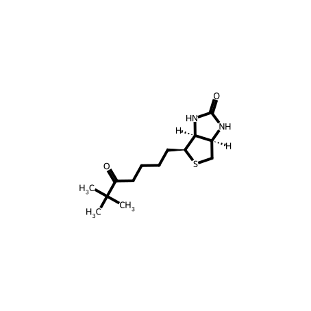 CC(C)(C)C(=O)CCCC[C@@H]1SC[C@@H]2NC(=O)N[C@@H]21